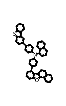 c1ccc2c(N(c3ccc(-c4ccc5sc6ccccc6c5c4)cc3)c3ccc(-c4cccc5oc6c7ccccc7ccc6c45)cc3)cccc2c1